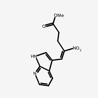 COC(=O)CCC(=Cc1c[nH]c2ncccc12)[N+](=O)[O-]